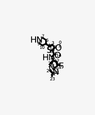 COc1cc(C2CCNCC2)sc1C(=O)Nc1cc(F)c2nc(C)cn2c1